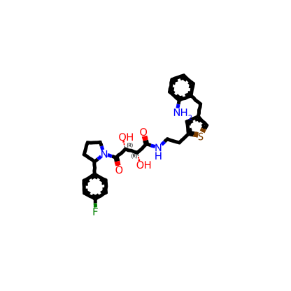 Nc1ccccc1Cc1csc(CCNC(=O)[C@H](O)[C@@H](O)C(=O)N2CCCC2c2ccc(F)cc2)c1